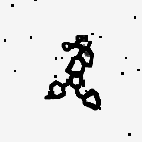 C[C@H]1CCc2c(ccc3c2nc(Cc2ccccc2)n3C2CCN(C)CC2)N1C(=O)O